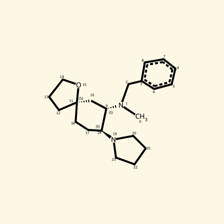 CN(Cc1ccccc1)[C@H]1C[C@@]2(CCCO2)CC[C@@H]1N1CCCC1